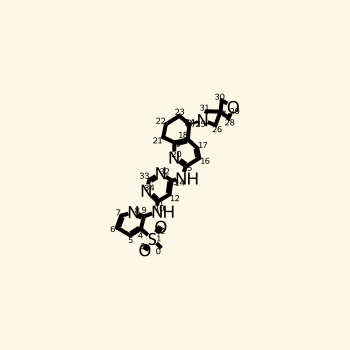 CS(=O)(=O)c1cccnc1Nc1cc(Nc2ccc3c(n2)CCC[C@H]3N2CC3(COC3)C2)ncn1